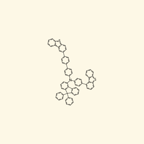 c1ccc(C2(c3ccccc3)c3ccccc3-c3c(N(c4ccc(-c5ccc(-c6ccc7sc8ccccc8c7c6)cc5)cc4)c4ccc(-c5cccc6sc7ccccc7c56)cc4)cccc32)cc1